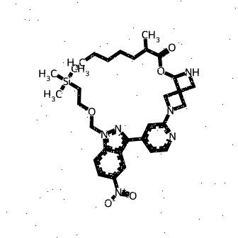 CCCCCC(C)C(=O)OC1NCC12CN(c1cc(-c3nn(COCC[Si](C)(C)C)c4ccc([N+](=O)[O-])cc34)ccn1)C2